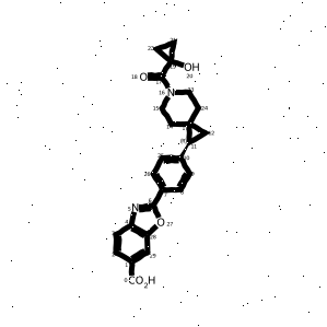 O=C(O)c1ccc2nc(-c3ccc([C@@H]4CC45CCN(C(=O)C4(O)CC4)CC5)cc3)oc2c1